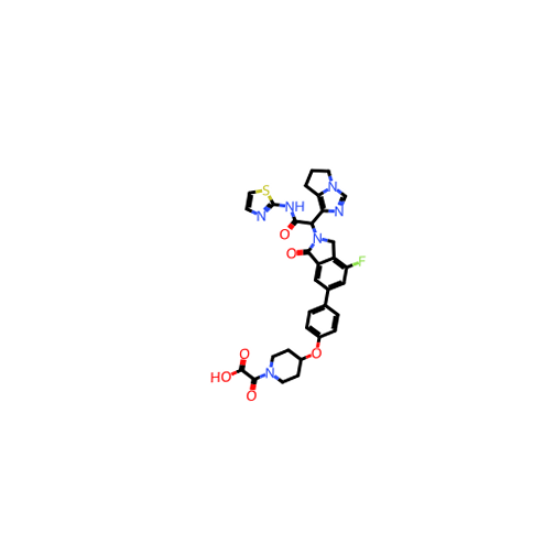 O=C(O)C(=O)N1CCC(Oc2ccc(-c3cc(F)c4c(c3)C(=O)N(C(C(=O)Nc3nccs3)c3ncn5c3CCC5)C4)cc2)CC1